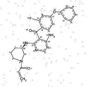 C=CC(=O)N1CCC[C@@H](Nc2ncnc(N)c2C(=O)c2ccc(Oc3ccccc3)cc2F)C1